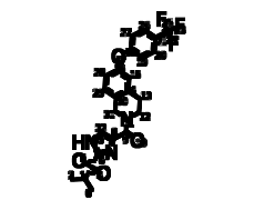 CC(C)S(=O)(=O)c1nc(C(=O)N2CCc3cc(Oc4ccc(C(F)(F)F)cc4)ccc3C2)c[nH]1